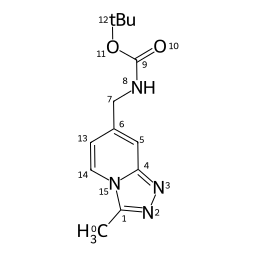 Cc1nnc2cc(CNC(=O)OC(C)(C)C)ccn12